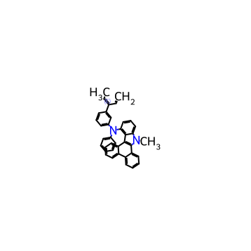 C=C/C(=C\C)c1cccc(N(c2ccccc2)c2cccc3c2c2c4ccccc4c4ccccc4c2n3C)c1